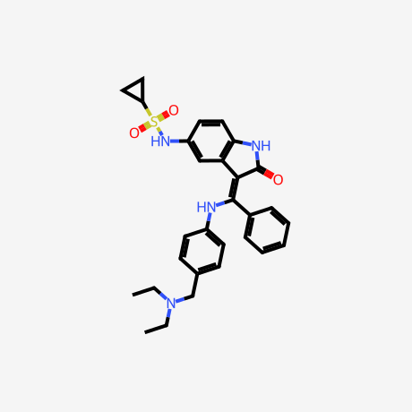 CCN(CC)Cc1ccc(NC(=C2C(=O)Nc3ccc(NS(=O)(=O)C4CC4)cc32)c2ccccc2)cc1